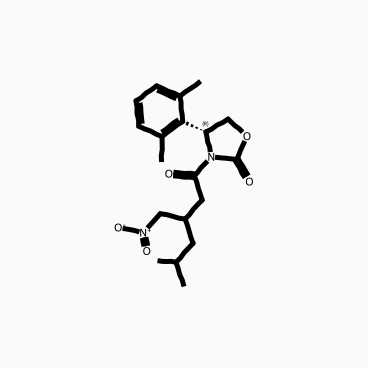 Cc1cccc(C)c1[C@@H]1COC(=O)N1C(=O)CC(CC(C)C)C[N+](=O)[O-]